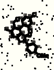 COc1ccc(N2Cc3nc(C)c(CCl)c(-c4ccc(Cl)cc4Cl)c3C2=O)cc1